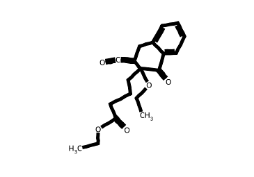 CCOC(=O)CCCC1(OCC)C(=O)c2ccccc2CC1=C=O